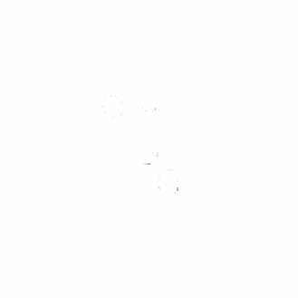 CNC(CCNC(=O)c1ccc2c(c1)OCO2)Cc1ccccc1